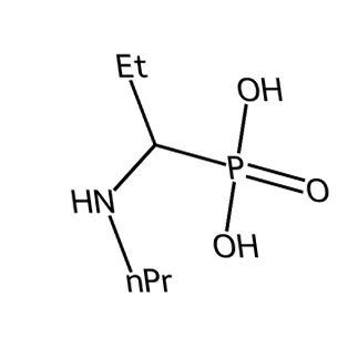 CCCNC(CC)P(=O)(O)O